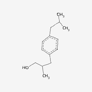 CC(C)Cc1ccc(CC(C)CO)cc1